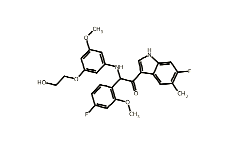 COc1cc(NC(C(=O)c2c[nH]c3cc(F)c(C)cc23)c2ccc(F)cc2OC)cc(OCCO)c1